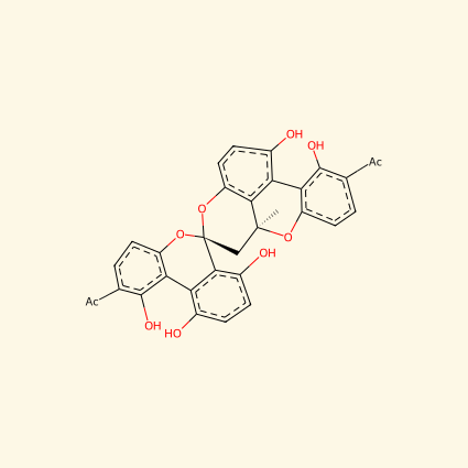 CC(=O)c1ccc2c(c1O)-c1c(O)ccc(O)c1[C@]1(C[C@]3(C)Oc4ccc(C(C)=O)c(O)c4-c4c(O)ccc(c43)O1)O2